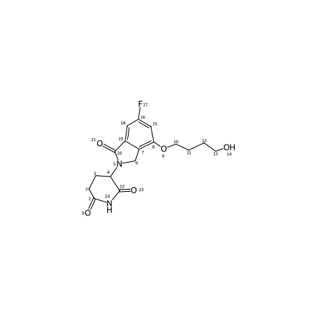 O=C1CCC(N2Cc3c(OCCCCO)cc(F)cc3C2=O)C(=O)N1